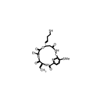 C/C=C1\NC(=O)c2ccc(SC)c(n2)CNC(=O)C[C@@H](/C=C/CCS)OC(=O)C(CC)NC1=O